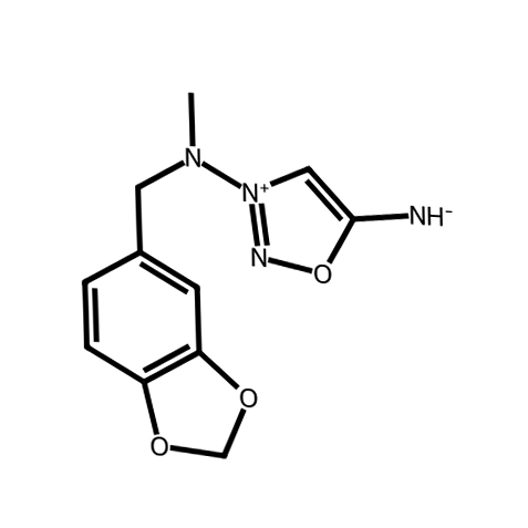 CN(Cc1ccc2c(c1)OCO2)[n+]1cc([NH-])on1